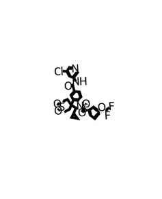 O=C(Nc1cncc(Cl)c1)c1ccc2c(c1)C1(CCS(=O)(=O)CC1)C(C1CC1)N2S(=O)(=O)c1cccc(OC(F)F)c1